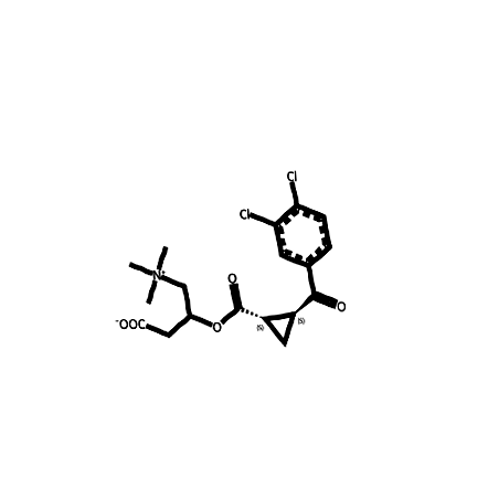 C[N+](C)(C)CC(CC(=O)[O-])OC(=O)[C@H]1C[C@@H]1C(=O)c1ccc(Cl)c(Cl)c1